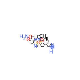 CC(C)(C)NS(=O)(=O)c1cc(-c2ccc3nn[nH]c3c2)ccc1-c1cnc([C@H]2CC[C@H](OC(N)=O)CC2)s1